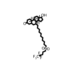 C[C@]12CCC(=O)CC1CC(CCCCCCCCCCCS(=O)(=O)CCCC(F)(F)C(F)(F)F)[C@@H]1[C@H]2CC[C@]2(C)C(O)CC[C@@H]12